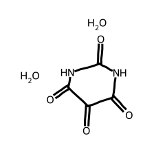 O.O.O=C1NC(=O)C(=O)C(=O)N1